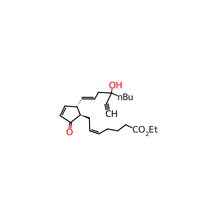 C#CC(O)(CC=C[C@H]1C=CC(=O)[C@@H]1C/C=C\CCCC(=O)OCC)CCCC